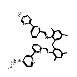 Cc1cc(C)c(N=Cc2cccc(-c3ccccn3)n2)c(Cc2cc(C)cc(C)c2N=Cc2cccc(-c3ccccn3)n2)c1.Cl.Cl.Cl.Cl.[Fe].[Fe]